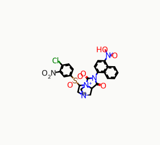 O=C1C2C[N@@]3CC(S(=O)(=O)c4ccc(Cl)c([N+](=O)[O-])c4)[N+]2(C3)C(=O)N1c1ccc([N+](=O)O)c2ccccc12